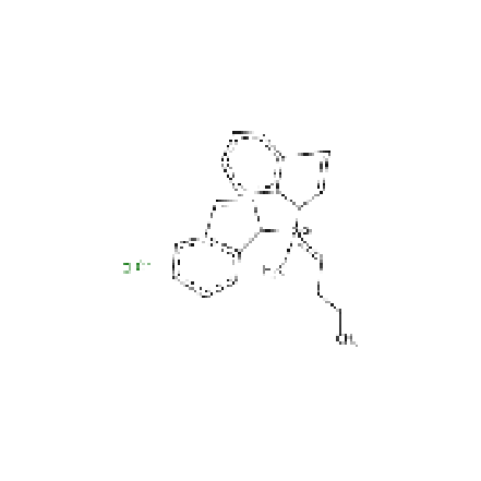 CCC[CH]=[Zr+2]([CH3])([CH]1C=Cc2ccccc21)[CH]1C=Cc2ccccc21.[Cl-].[Cl-]